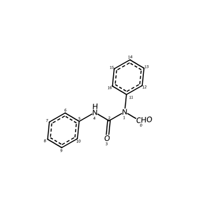 O=CN(C(=O)Nc1ccccc1)c1ccccc1